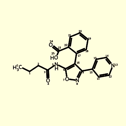 CCCC(=O)Nc1onc(-c2ccncc2)c1-c1ccccc1C(=O)O